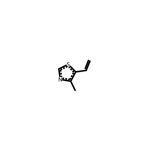 C=Cc1scnc1C